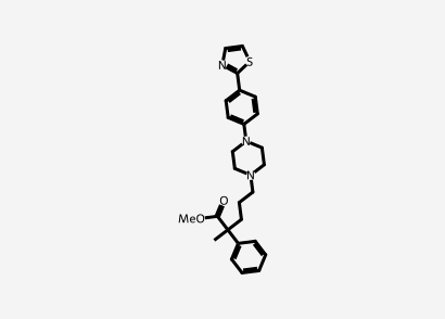 COC(=O)C(C)(CCCN1CCN(c2ccc(-c3nccs3)cc2)CC1)c1ccccc1